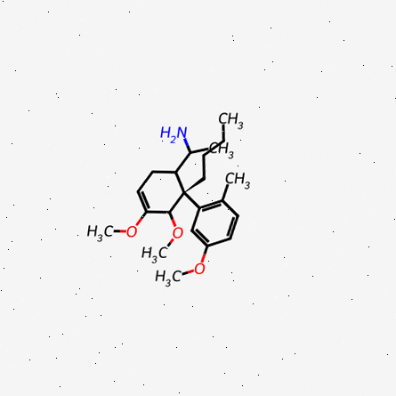 CCCC[C@@]1(c2cc(OC)ccc2C)C(OC)C(OC)=CCC1C(C)N